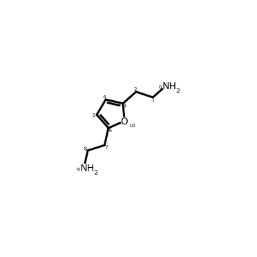 NCCc1ccc(CCN)o1